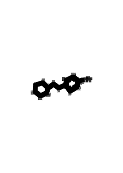 CCCc1ccc(CCC2CCCCC2)cc1